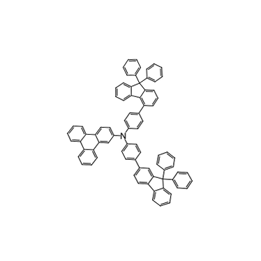 c1ccc(C2(c3ccccc3)c3ccccc3-c3ccc(-c4ccc(N(c5ccc(-c6cccc7c6-c6ccccc6C7(c6ccccc6)c6ccccc6)cc5)c5ccc6c7ccccc7c7ccccc7c6c5)cc4)cc32)cc1